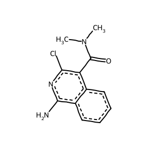 CN(C)C(=O)c1c(Cl)nc(N)c2ccccc12